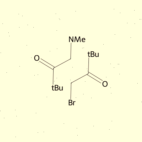 CC(C)(C)C(=O)CBr.CNCC(=O)C(C)(C)C